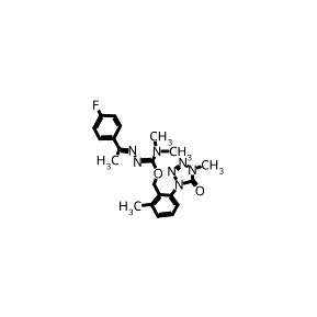 C/C(=N\N=C(\OCc1c(C)cccc1-n1nnn(C)c1=O)N(C)C)c1ccc(F)cc1